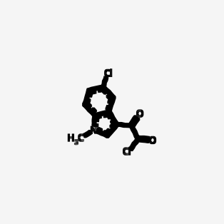 Cn1cc(C(=O)C(=O)Cl)c2cc(Cl)ccc21